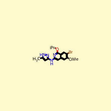 COc1cc2cc(Nc3cc(C)[nH]n3)nc(OC(C)C)c2cc1Br